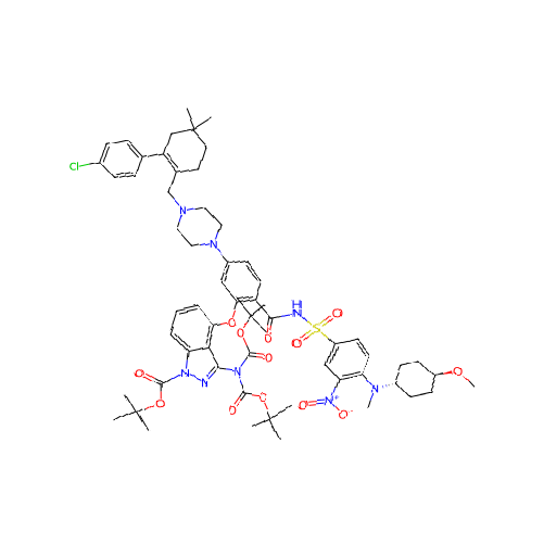 CO[C@H]1CC[C@H](N(C)c2ccc(S(=O)(=O)NC(=O)c3ccc(N4CCN(CC5=C(c6ccc(Cl)cc6)CC(C)(C)CC5)CC4)cc3Oc3cccc4c3c(N(C(=O)OC(C)(C)C)C(=O)OC(C)(C)C)nn4C(=O)OC(C)(C)C)cc2[N+](=O)[O-])CC1